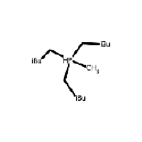 CCC(C)C[PH](C)(CC(C)CC)CC(C)CC